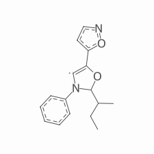 CCC(C)C1OC(c2ccno2)=[C]N1c1ccccc1